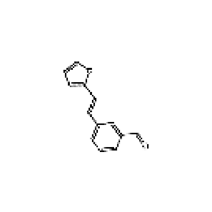 O=Cc1cccc(/C=C/c2ccco2)c1